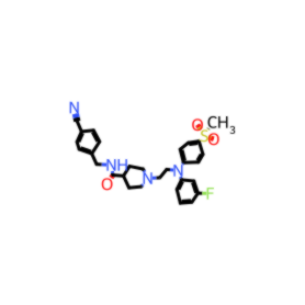 CS(=O)(=O)c1ccc(N(CCN2CCC(C(=O)NCc3ccc(C#N)cc3)CC2)c2cccc(F)c2)cc1